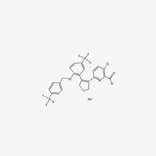 O=C([O-])c1nc(C2=C(c3cc(C(F)(F)F)ccc3OCc3ccc(C(F)(F)F)cc3)CCC2)ccc1Cl.[Na+]